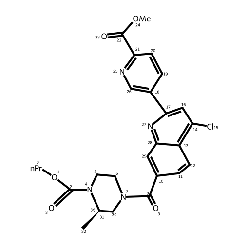 CCCOC(=O)N1CCN(C(=O)c2ccc3c(Cl)cc(-c4ccc(C(=O)OC)nc4)nc3c2)C[C@H]1C